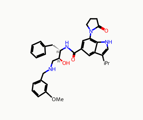 COc1cccc(CNC[C@H](O)[C@H](Cc2ccccc2)NC(=O)c2cc(N3CCCC3=O)c3[nH]cc(C(C)C)c3c2)c1